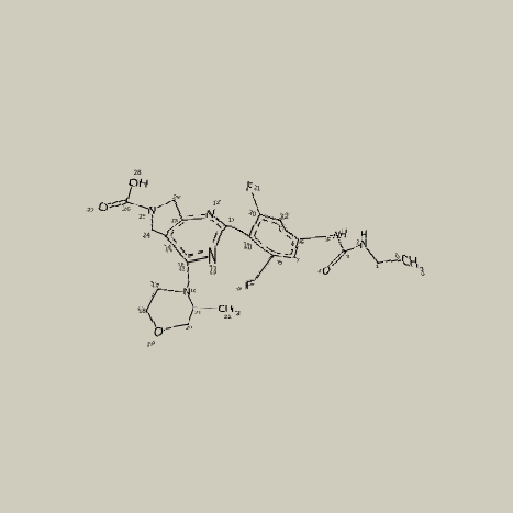 CCNC(=O)Nc1cc(F)c(-c2nc3c(c(N4CCOCC4C)n2)CN(C(=O)O)C3)c(F)c1